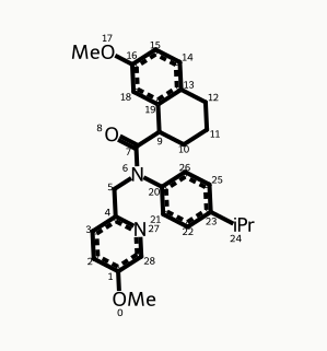 COc1ccc(CN(C(=O)C2CCCc3ccc(OC)cc32)c2ccc(C(C)C)cc2)nc1